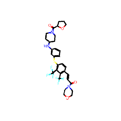 O=C(C=Cc1ccc(Sc2cccc(NC3CCN(C(=O)C4CCCO4)CC3)c2)c(C(F)(F)F)c1C(F)(F)F)N1CCOCC1